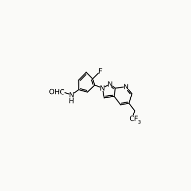 O=CNc1ccc(F)c(-n2cc3cc(CC(F)(F)F)cnc3n2)c1